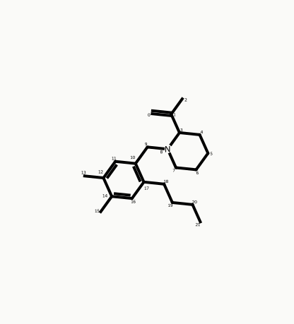 C=C(C)C1CCCCN1Cc1cc(C)c(C)cc1CCCC